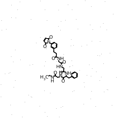 CCNC(=O)CNC(=O)C(Cc1ccccc1)NC(=O)CNC(=O)CNC(=O)CCc1cccc(N2C(=O)C=CC2=O)c1